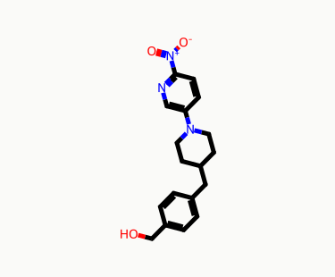 O=[N+]([O-])c1ccc(N2CCC(Cc3ccc(CO)cc3)CC2)cn1